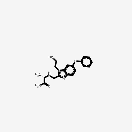 C[C@H](NCc1nc2ccc(Oc3ccccc3)cc2n1CCO)C(N)=O